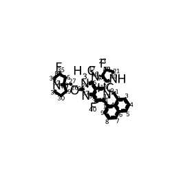 C#Cc1cccc2cccc(-c3ncc4c(N(C)[C@H]5CNC[C@H]5F)nc(OC[C@@]56CCCN5C[C@H](F)C6)nc4c3F)c12